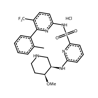 CO[C@H]1CCNC[C@H]1Nc1cccc(S(=O)(=O)Nc2ccc(C(F)(F)F)c(-c3ccccc3C)n2)n1.Cl